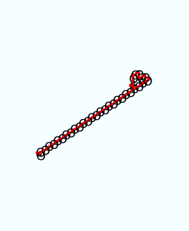 C=C(C)C(=O)OCCOCCOCCOCCOCCOCCOCCOCCOCCOCCOCCOCCOCCOCCOCCOCCOCCOCCOCCOCCOCCOCCOCCOCCOCCOC(C)COC(C)COC(C)COC(C)COC(C)COCCC1=CCC2CC1C2(C)C